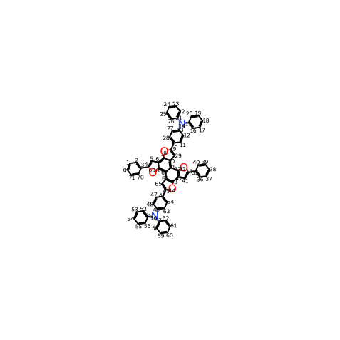 c1ccc(-c2cc3c4oc(-c5ccc(N(c6ccccc6)c6ccccc6)cc5)cc4c4c5oc(-c6ccccc6)cc5c5oc(-c6ccc(N(c7ccccc7)c7ccccc7)cc6)cc5c4c3o2)cc1